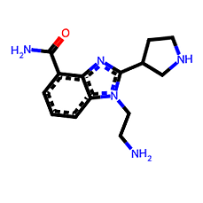 NCCn1c(C2CCNC2)nc2c(C(N)=O)cccc21